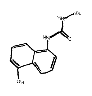 [CH2]CCCNC(=O)Nc1cccc2c(O)cccc12